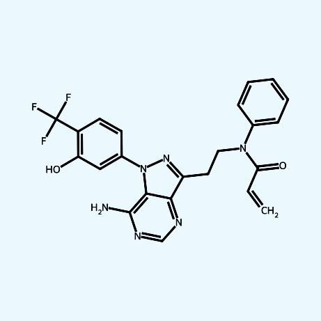 C=CC(=O)N(CCc1nn(-c2ccc(C(F)(F)F)c(O)c2)c2c(N)ncnc12)c1ccccc1